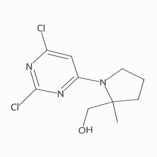 CC1(CO)CCCN1c1cc(Cl)nc(Cl)n1